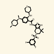 CN1CCC(N(C)c2ccc(C(=O)Nc3n[nH]c4c3CN(S(=O)(=O)c3cc(F)cc(F)c3)CC4(C)C)c(NC3CCOCC3)c2)CC1